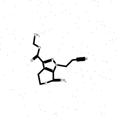 C=C1CCCc2c(C(=O)OCC)nn(CCC#N)c21